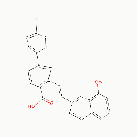 O=C(O)c1ccc(-c2ccc(F)cc2)cc1C=Cc1ccc2cccc(O)c2c1